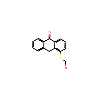 O=C1c2ccccc2Cc2c(SCBr)cccc21